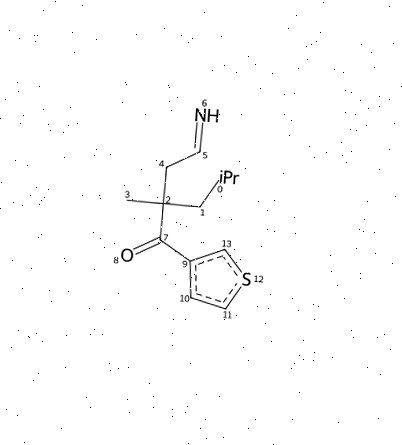 CC(C)CC(C)(CC=N)C(=O)c1ccsc1